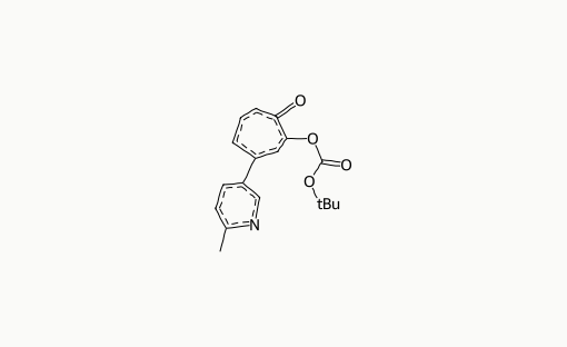 Cc1ccc(-c2cccc(=O)c(OC(=O)OC(C)(C)C)c2)cn1